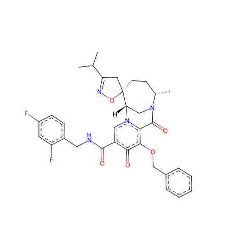 CC(C)C1=NO[C@@]2(CC[C@H](C)N3C[C@@H]2n2cc(C(=O)NCc4ccc(F)cc4F)c(=O)c(OCc4ccccc4)c2C3=O)C1